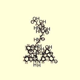 O=C(O)CC[C@H](NC(=O)N[C@@H](CCC(=O)NCCNC(=O)[C@@H](NC(=O)C(Cc1ccccc1)NC(=O)C(Cc1ccccc1)NC(=S)Nc1ccc(-c2c3ccc(=O)cc-3oc3cc(O)ccc23)c(C(=O)O)c1)C(=O)O)C(=O)O)C(=O)O